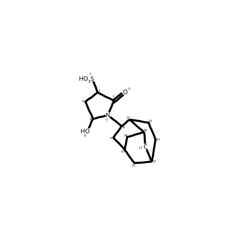 O=C1C(S(=O)(=O)O)CC(O)N1C1CC2CC3CCC1C(C3)C2